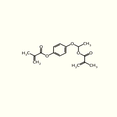 C=C(C)C(=O)Oc1ccc(OC(C)OC(=O)C(=C)C)cc1